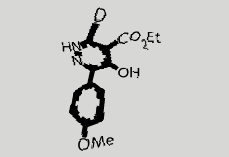 CCOC(=O)c1c(O)c(-c2ccc(OC)cc2)n[nH]c1=O